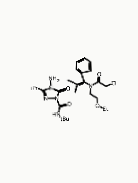 CC(C)c1nn(C(=O)NC(C)(C)C)c(=O)n1N.CCOCCN(C(=O)CCl)C(=C(C)C)c1ccccc1